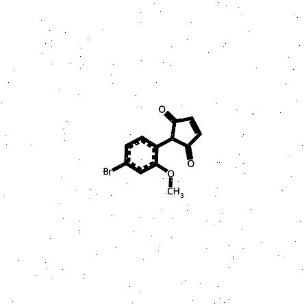 COc1cc(Br)ccc1C1C(=O)C=CC1=O